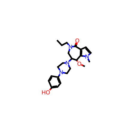 CCCN1CC(N2CCN(c3ccc(O)cc3)CC2)C(OC)c2c(ccn2C)C1=O